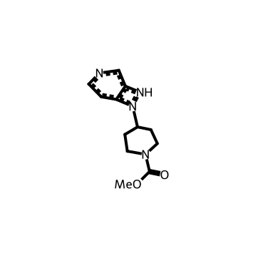 COC(=O)N1CCC(n2[nH]c3cnccc32)CC1